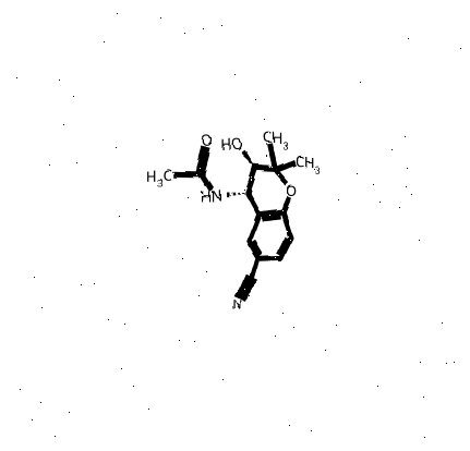 CC(=O)N[C@H]1c2cc(C#N)ccc2OC(C)(C)[C@@H]1O